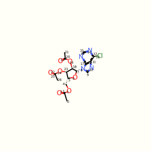 CC(=O)OC[C@H]1O[C@@H](n2cnc3c(Cl)ncnc32)[C@H](OC(C)=O)[C@@H]1OC(C)=O